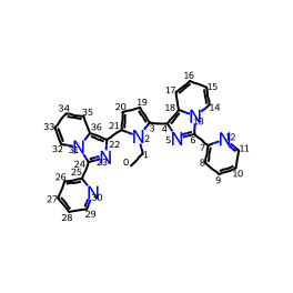 CCn1c(-c2nc(-c3ccccn3)n3ccccc23)ccc1-c1nc(-c2ccccn2)n2ccccc12